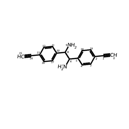 C#Cc1ccc(C(N)C(N)c2ccc(C#C)cc2)cc1